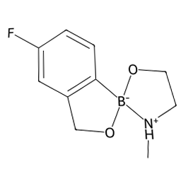 C[NH+]1CCO[B-]12OCc1cc(F)ccc12